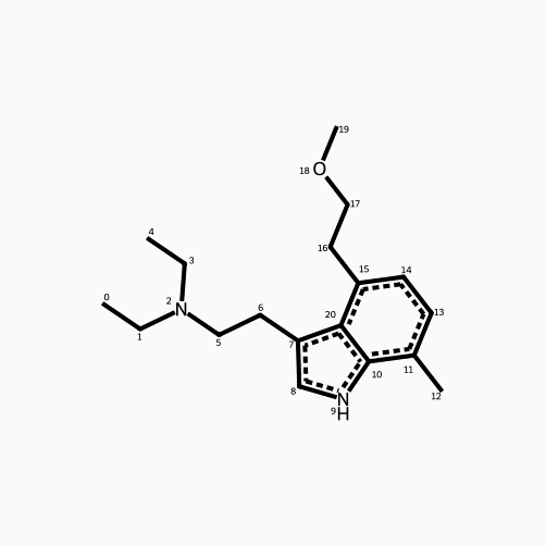 CCN(CC)CCc1c[nH]c2c(C)ccc(CCOC)c12